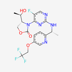 C[C@@H](Nc1ncc(F)c(N2C(=O)OC[C@@H]2[C@@H](C)O)n1)c1ccc(OCC(F)(F)F)cn1